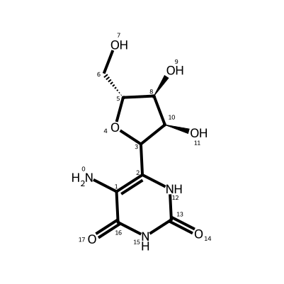 Nc1c(C2O[C@H](CO)[C@@H](O)[C@H]2O)[nH]c(=O)[nH]c1=O